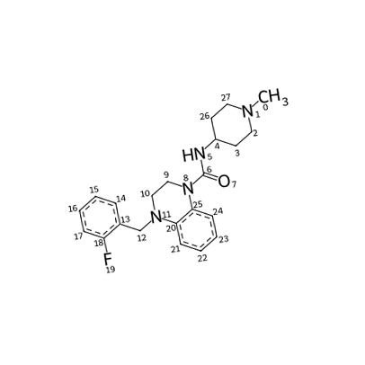 CN1CCC(NC(=O)N2CCN(Cc3ccccc3F)c3ccccc32)CC1